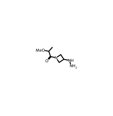 COC(C)C(=O)N1CC(NN)C1